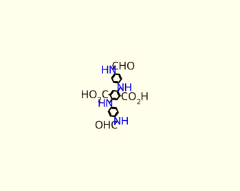 O=CNc1ccc(Nc2cc(C(=O)O)c(Nc3ccc(NC=O)cc3)cc2C(=O)O)cc1